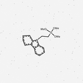 CO[Si](CCn1c2ccccc2c2ccccc21)(OC)OC